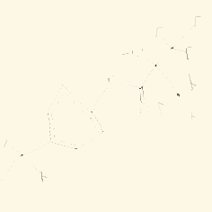 O=C(Oc1ccc(C(F)(F)F)cc1)C(O)(C(F)(F)F)C(F)(F)F